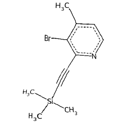 Cc1ccnc(C#C[Si](C)(C)C)c1Br